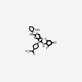 NC(=O)C1CCC(n2c(Nc3c(F)cc(Cl)cc3F)nc3cnc(N[C@H]4CCC[C@@H]4O)nc32)CC1